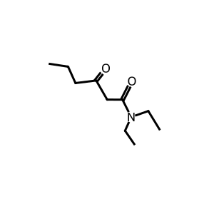 CCCC(=O)CC(=O)N(CC)CC